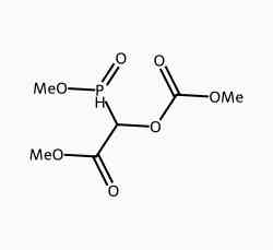 COC(=O)OC(C(=O)OC)[PH](=O)OC